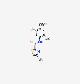 COc1cc(C(C)=O)c(NC(=O)c2nc(C(C)C)cs2)cc1Cl